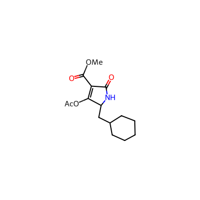 COC(=O)C1=C(OC(C)=O)C(CC2CCCCC2)NC1=O